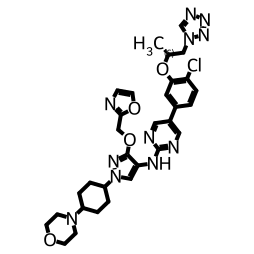 C[C@@H](Cn1cnnn1)Oc1cc(-c2cnc(Nc3cn(C4CCC(N5CCOCC5)CC4)nc3OCc3ncco3)nc2)ccc1Cl